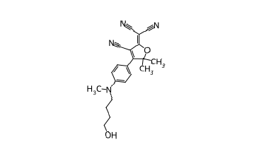 CN(CCCCO)c1ccc(C2=C(C#N)C(=C(C#N)C#N)OC2(C)C)cc1